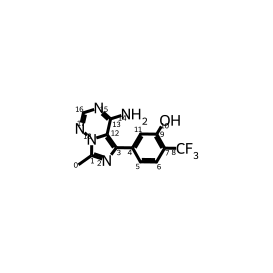 Cc1nc(-c2ccc(C(F)(F)F)c(O)c2)c2c(N)ncnn12